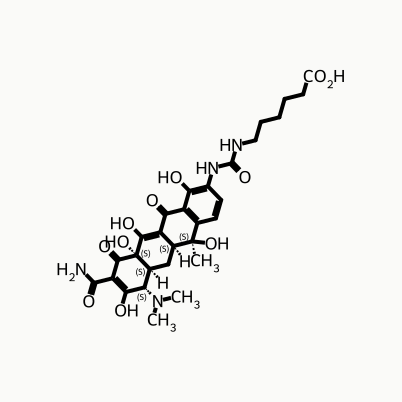 CN(C)[C@@H]1C(O)=C(C(N)=O)C(=O)[C@@]2(O)C(O)=C3C(=O)c4c(ccc(NC(=O)NCCCCCC(=O)O)c4O)[C@@](C)(O)[C@H]3C[C@@H]12